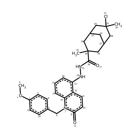 COc1ccc(Cn2c(=O)ccc3c(NNC(=O)C4(C)CC5CC(CC(C)(Cl)C5)C4)cccc32)cc1